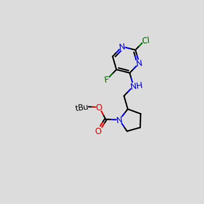 CC(C)(C)OC(=O)N1CCCC1CNc1nc(Cl)ncc1F